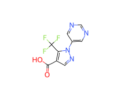 O=C(O)c1cnn(-c2cncnc2)c1C(F)(F)F